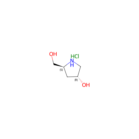 Cl.OC[C@@H]1C[C@@H](O)CN1